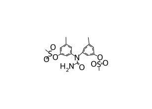 Cc1cc(OS(C)(=O)=O)cc(N(C(N)=O)c2cc(C)cc(OS(C)(=O)=O)c2)c1